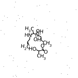 C=CCNC(C)[N+](O)(O)CCC.CC(O)C(=O)[O-]